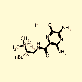 CCCC[C@@H](CNC(=O)c1nc(Cl)c(N)nc1N)[N+](C)(C)C.[I-]